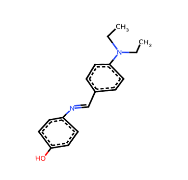 CCN(CC)c1ccc(C=Nc2ccc(O)cc2)cc1